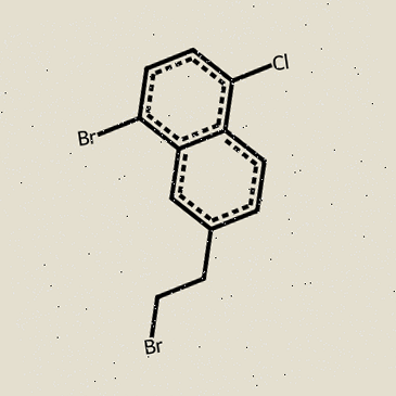 Clc1ccc(Br)c2cc(CCBr)ccc12